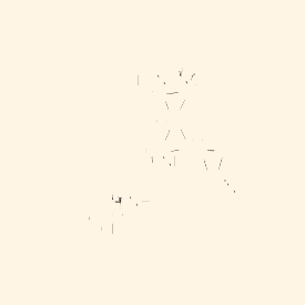 CC(C)(C)OC(=O)N[C@H]1CC[C@H](C(=O)Nc2cc(Oc3ccc(C#N)cc3)cc(Oc3ccc([N+](=O)[O-])c(N)c3)c2)CC1